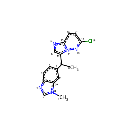 CC(c1ccc2ncn(C)c2c1)c1cnc2ccc(Cl)nn12